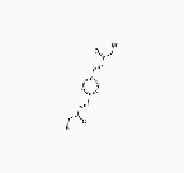 O=C(C=Cc1ccc(C=CC(=O)CBr)cc1)CBr